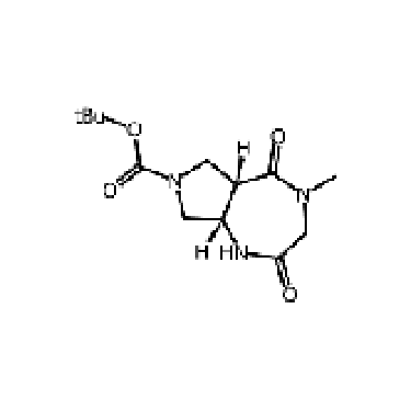 CN1CC(=O)N[C@@H]2CN(C(=O)OC(C)(C)C)C[C@@H]2C1=O